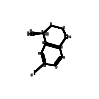 O[C@H]1CCOc2ccc(I)cc21